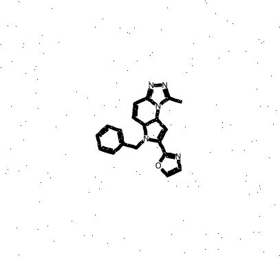 Cc1nnc2n1C1C=C(c3ncco3)N(Cc3ccccc3)C1C=C2